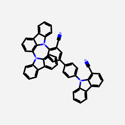 N#Cc1cc(-c2ccc(-n3c4ccccc4c4cccc(C#N)c43)cc2)ccc1-n1c2ccccc2c2cccc(-n3c4ccccc4c4ccccc43)c21